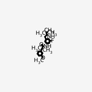 COc1cccc(C(C)(C)C(=O)Nc2cc(F)c3c(c2)CC(C(C)(C)C)N3)c1